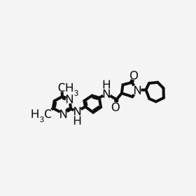 Cc1cc(C)nc(Nc2ccc(NC(=O)C3CC(=O)N(C4CCCCCC4)C3)cc2)n1